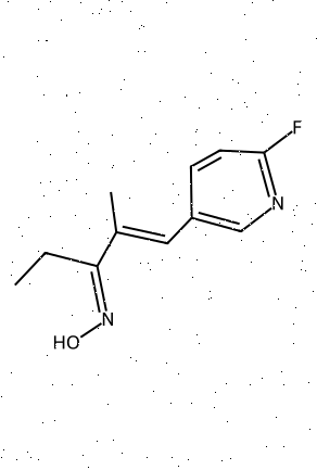 CCC(=NO)/C(C)=C/c1ccc(F)nc1